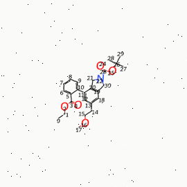 CCOC(=O)c1ccccc1-c1cc(CCOC)cc2c1CN(C(=O)OC(C)(C)C)C2